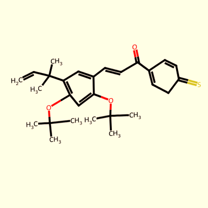 C=CC(C)(C)c1cc(C=CC(=O)C2=CCC(=S)C=C2)c(OC(C)(C)C)cc1OC(C)(C)C